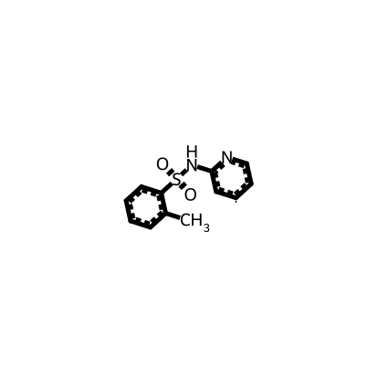 Cc1ccccc1S(=O)(=O)Nc1c[c]ccn1